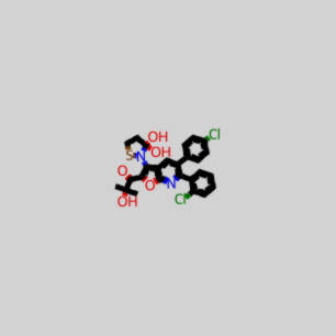 CC(C)(O)C(=O)c1oc2nc(-c3ccccc3Cl)c(-c3ccc(Cl)cc3)cc2c1N1SCCC1(O)O